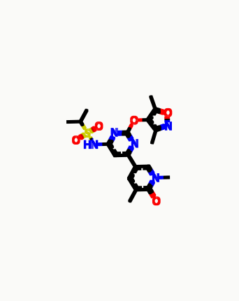 Cc1noc(C)c1Oc1nc(NS(=O)(=O)C(C)C)cc(-c2cc(C)c(=O)n(C)c2)n1